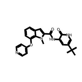 Cn1c(C(=O)Nc2cc(C(C)(C)C)c[nH]c2=O)cc2cccc(Oc3ccncc3)c21